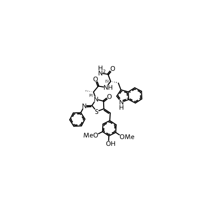 COc1cc(C=C2SC(=Nc3ccccc3)N([C@H](C)C(=O)N[C@@H](Cc3c[nH]c4ccccc34)C(N)=O)C2=O)cc(OC)c1O